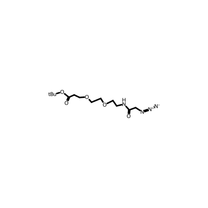 CC(C)(C)OC(=O)CCOCCOCCNC(=O)CN=[N+]=[N-]